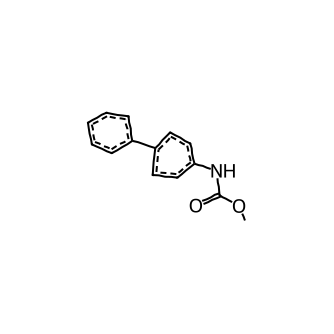 COC(=O)Nc1ccc(-c2ccccc2)cc1